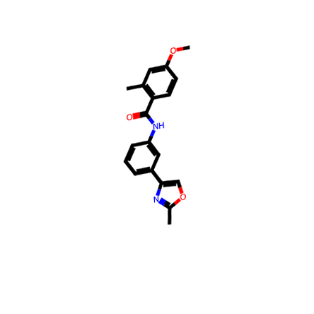 COc1ccc(C(=O)Nc2cccc(-c3coc(C)n3)c2)c(C)c1